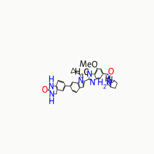 COc1cc(C(=O)N2CC3CCC2[C@@H]3N)cc2nc(-c3cc4ccc(-c5ccc6c(c5)CNC(=O)N6)cc4n3CC3CC3)n(C)c12